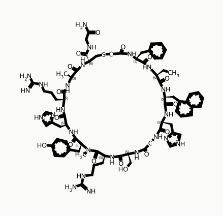 CC[C@@H]1NC(=O)[C@H](Cc2ccccc2)NC(=O)CSC[C@@H](C(=O)NCC(N)=O)NC(=O)[C@H](C)NC(=O)[C@H](CCCNC(=N)N)NC(=O)[C@H](Cc2c[nH]cn2)NC(=O)[C@H](Cc2ccc(O)cc2)N(C)C(=O)[C@H](CCCNC(=N)N)NC(=O)[C@H](CO)NC(=O)CNC(=O)[C@H](Cc2c[nH]cn2)NC(=O)[C@H](Cc2cccc3ccccc23)NC1=O